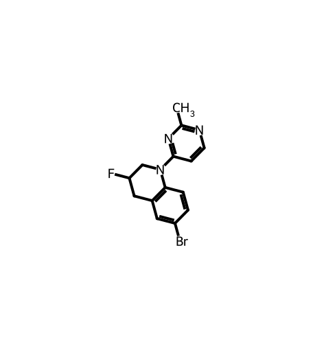 Cc1nccc(N2CC(F)Cc3cc(Br)ccc32)n1